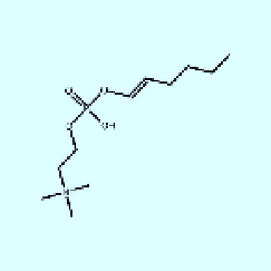 CCCCC=COP(=O)(O)OCC[N+](C)(C)C